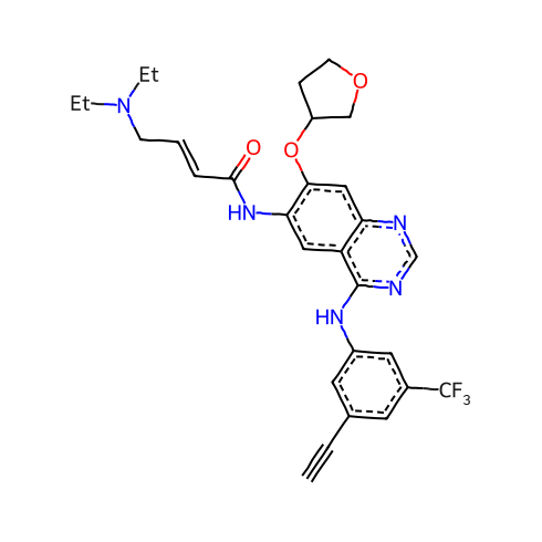 C#Cc1cc(Nc2ncnc3cc(OC4CCOC4)c(NC(=O)/C=C/CN(CC)CC)cc23)cc(C(F)(F)F)c1